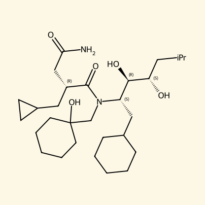 CC(C)C[C@H](O)[C@H](O)[C@H](CC1CCCCC1)N(CC1(O)CCCCC1)C(=O)[C@@H](CC(N)=O)CC1CC1